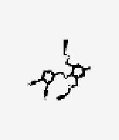 C#CCOCc1cc(C)cc(COCC#C)c1OCc1ccc(C#N)c(C#N)c1